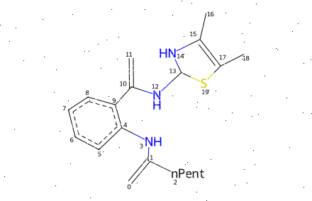 C=C(CCCCC)Nc1ccccc1C(=C)NC1NC(C)=C(C)S1